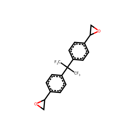 FC(F)(F)C(c1ccc(C2CO2)cc1)(c1ccc(C2CO2)cc1)C(F)(F)F